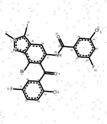 Cn1nc2c(Br)c(C(=O)c3cc(F)ccc3Cl)c(NC(=O)c3cc(F)cc(C(F)(F)F)c3)cc2c1I